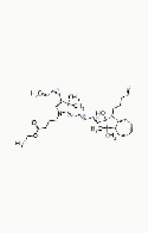 C=C/C=C\C1=CN(CCCC(=O)OCC)/C(=C/C=C/C=C/C2(O)N(CCCC=O)C3=CC=CC=CC3C2(C)C)C1(C)C